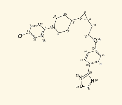 Clc1cnc(N2CCC(C3CC3CCOc3ccc(-c4ncon4)cc3)CC2)nc1